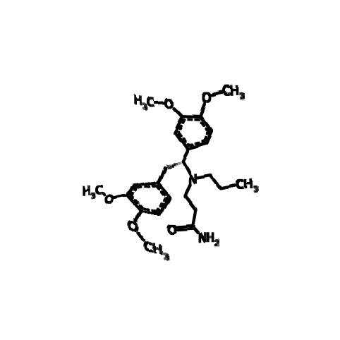 CCCN(CCC(N)=O)[C@H](Cc1ccc(OC)c(OC)c1)c1ccc(OC)c(OC)c1